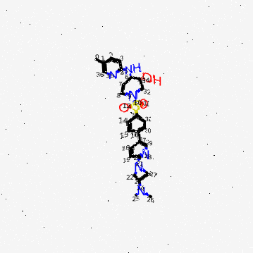 Cc1ccc(N[C@@H]2CCN(S(=O)(=O)c3ccc(-c4ccc(N5CC(N(C)C)C5)nc4)cc3)C[C@@H]2O)nc1